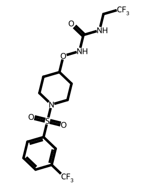 O=C(NCC(F)(F)F)NOC1CCN(S(=O)(=O)c2cccc(C(F)(F)F)c2)CC1